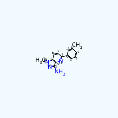 Cc1cccc(-c2ccc3c(n2)c(N)nn3C)c1